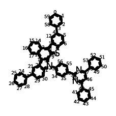 c1ccc(-c2ccc3sc4c(c3c2)c2ccccc2c2c3cc(-c5ccccc5)ccc3n(-c3ccc(-c5nc(-c6ccccc6)cc(-c6ccccc6)n5)cc3)c42)cc1